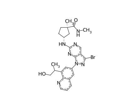 CNC(=O)[C@]1(C)CC[C@@H](Nc2ncc3c(Br)nn(-c4cc(C(C)CO)c5ncccc5c4)c3n2)C1